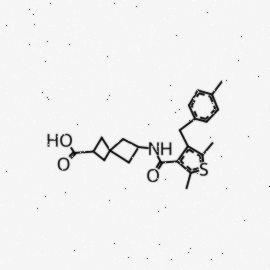 Cc1ccc(Cc2c(C)sc(C)c2C(=O)NC2CC3(C2)CC(C(=O)O)C3)cc1